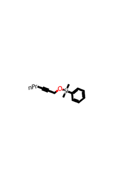 CCCC#CCO[Si](C)(C)c1ccccc1